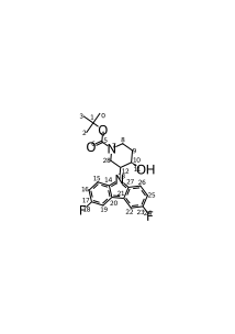 CC(C)(C)OC(=O)N1CC[C@@H](O)C(n2c3ccc(F)cc3c3cc(F)ccc32)C1